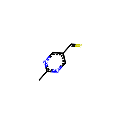 Cc1ncc(C=S)cn1